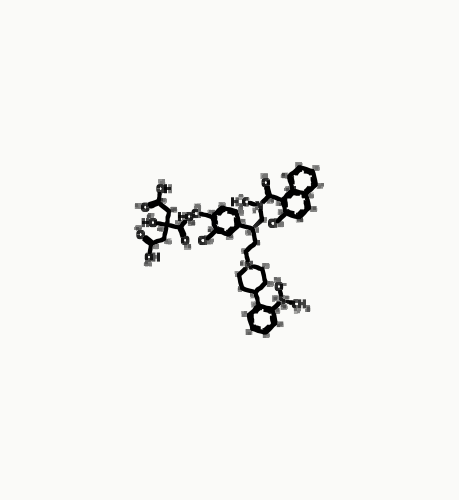 CN(C[C@@H](CCN1CCC(c2ccccc2[S@+](C)[O-])CC1)c1ccc(Cl)c(Cl)c1)C(=O)c1c(Cl)ccc2ccccc12.O=C(O)CC(O)(CC(=O)O)C(=O)O